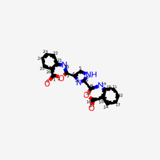 O=c1oc(-c2c[nH]c(-c3nc4ccccc4c(=O)o3)n2)nc2ccccc12